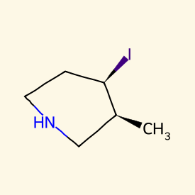 C[C@H]1CNCC[C@H]1I